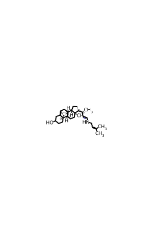 CC(C)=CCN/C=C/[C@@H](C)[C@H]1CC[C@H]2[C@@H]3CC=C4CC(O)CC[C@]4(C)[C@H]3CC[C@]12C